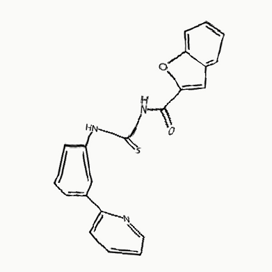 O=C(NC(=S)Nc1cccc(-c2ccccn2)c1)c1cc2ccccc2o1